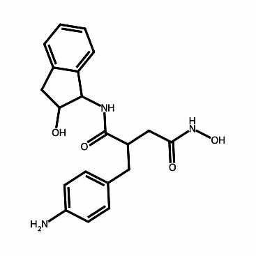 Nc1ccc(CC(CC(=O)NO)C(=O)NC2c3ccccc3CC2O)cc1